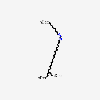 CCCCCCCCCCCCCCCCCCN=C=NCCCCCCCCCCCCCCCCCC(CCCCCCCCCCCC)CCCCCCCCCCCC